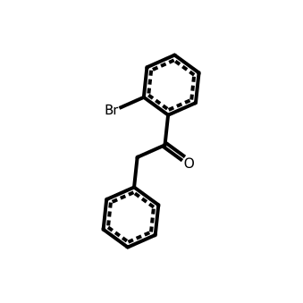 O=C(Cc1ccccc1)c1ccccc1Br